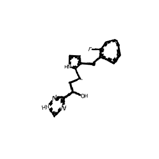 OC(C[CH]c1[nH]ccc1Cc1ccccc1F)c1nc[nH]n1